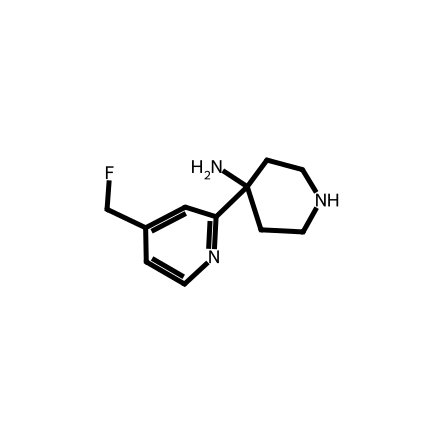 NC1(c2cc(CF)ccn2)CCNCC1